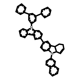 C1=CC2C(CC1)c1cc(-c3ccc4c(c3)c3ccccc3n4-c3cc(-c4ccccc4)cc(-c4ccccc4)c3)ccc1N2c1ccc2ccccc2c1